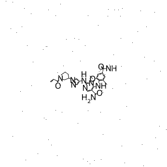 C=CC(=O)N1CCCC(n2cc(Nc3ncc(C(N)=O)c(Nc4c(C)cc(C(=O)NC)cc4OC)n3)cn2)C1